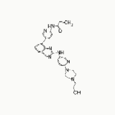 C=CC(=O)Nc1ccc(-c2cccc3cnc(Nc4ccc(N5CCN(CCO)CC5)nc4)nc23)cn1